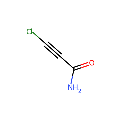 NC(=O)C#CCl